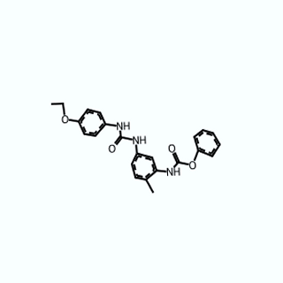 CCOc1ccc(NC(=O)Nc2ccc(C)c(NC(=O)Oc3ccccc3)c2)cc1